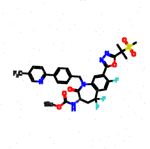 CC(C)(C)OC(=O)N[C@H]1CC(F)(F)c2cc(F)c(-c3nnc(C(C)(C)S(C)(=O)=O)o3)cc2N(Cc2ccc(-c3ccc(C(F)(F)F)cn3)cc2)C1=O